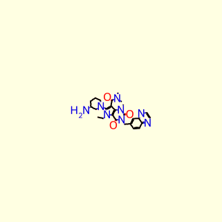 CCn1c(N2CCC[C@@H](N)C2)c(C(=O)N(C)C)c2c1c(=O)n(Cc1ccc3nccnc3c1)c(=O)n2C